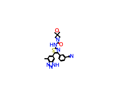 Cc1cc(-c2sc(NC(=O)N3CC4(COC4)C3)nc2-c2cccc(C#N)c2)cc2[nH]nnc12